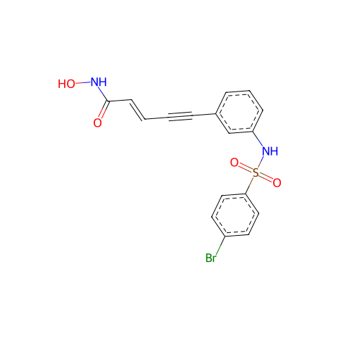 O=C(/C=C/C#Cc1cccc(NS(=O)(=O)c2ccc(Br)cc2)c1)NO